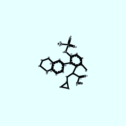 COC(=O)C(CC1CC1)c1c(C)ccc(OS(=O)(=O)C(F)(F)F)c1-c1ccc2c(c1)CCCO2